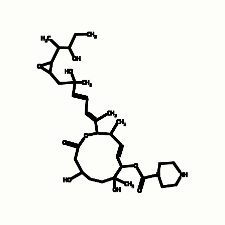 CCC(O)C(C)C1OC1CC(C)(O)/C=C/C=C(\C)C1OC(=O)CC(O)CCC(C)(O)C(OC(=O)N2CCNCC2)/C=C/C1C